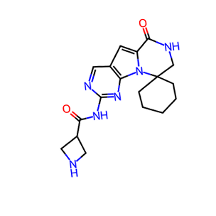 O=C1NCC2(CCCCC2)n2c1cc1cnc(NC(=O)C3CNC3)nc12